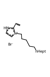 C=Cc1[nH]cc[n+]1CCCCCCCCCCCC.[Br-]